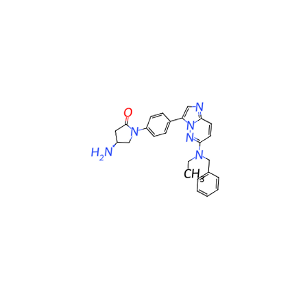 CCN(Cc1ccccc1)c1ccc2ncc(-c3ccc(N4C[C@@H](N)CC4=O)cc3)n2n1